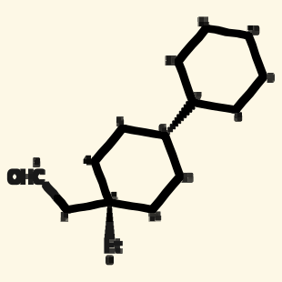 CC[C@]1(CC=O)CC[C@H](C2CCCCC2)CC1